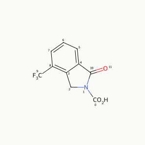 O=C(O)N1Cc2c(cccc2C(F)(F)F)C1=O